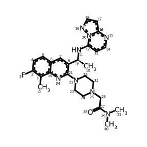 Cc1c(F)ccc2cc([C@H](C)Nc3ccnc4ccnn34)c(N3CCN(CC(=O)N(C)C)CC3)nc12